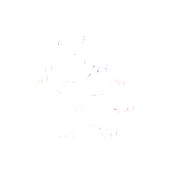 CSC1O[C@H]([C@H](N)[C@@H](S[C@H](C)S)C(=O)C(F)(F)F)C(O)[C@@H](O)[C@H]1O